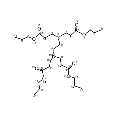 CCCOC(=O)CCN(CCC(=O)OCCC)CCN(CCC(=O)OCCC)CCC(=O)OCCC